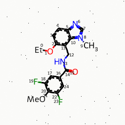 CCOc1ccc2ncn(C)c2c1CNC(=O)c1cc(F)c(OC)c(F)c1